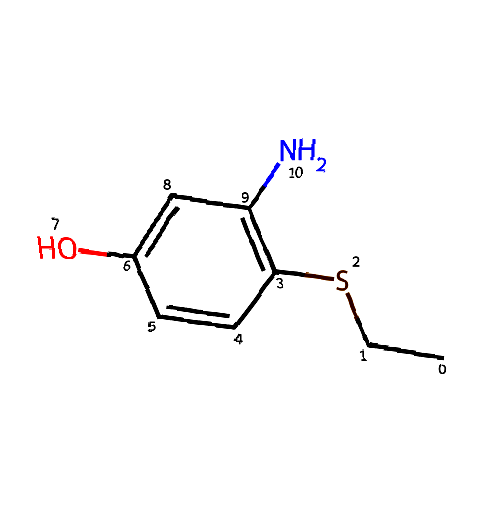 CCSc1ccc(O)cc1N